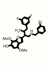 CCc1cccc(CNCC(c2cc3c(OC)cc(O)c(OC)c3o2)C(N)Cc2cc(F)cc(F)c2)c1